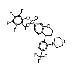 O=S(=O)(Oc1c(F)c(F)c(F)c(F)c1F)c1ccc2c(c1)OCC[C@H]2c1ccc(C(F)(F)F)cc1N1CCOCC1